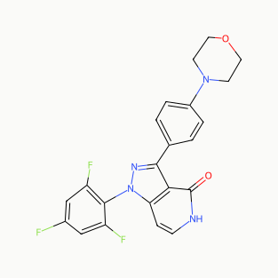 O=c1[nH]ccc2c1c(-c1ccc(N3CCOCC3)cc1)nn2-c1c(F)cc(F)cc1F